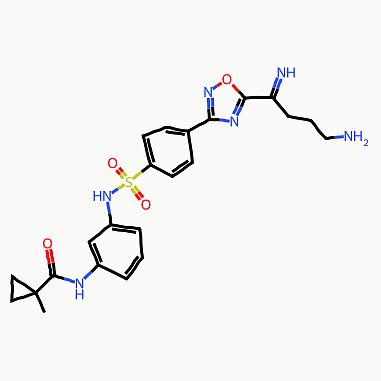 CC1(C(=O)Nc2cccc(NS(=O)(=O)c3ccc(-c4noc(C(=N)CCCN)n4)cc3)c2)CC1